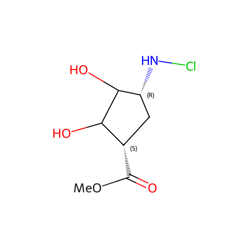 COC(=O)[C@H]1C[C@@H](NCl)C(O)C1O